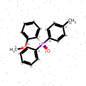 COc1ccccc1[P@](=O)(c1ccccc1)c1ccc(C)cc1